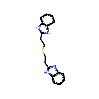 c1ccc2[nH]c(CCSCCc3nc4ccccc4[nH]3)nc2c1